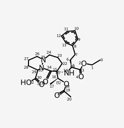 CCOC(=O)[C@H](CCc1ccccc1)N[C@@]1([C@H](C)OC(C)=O)CCCN2CCCC(C(=O)O)N2C1=O